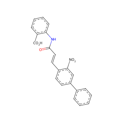 O=C(C=Cc1ccc(-c2ccccc2)cc1[N+](=O)[O-])Nc1ccccc1C(=O)O